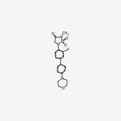 CN1C(=O)CN(c2ccc(-c3ccc(N4CCOCC4)cc3)cc2F)S1(=O)=O